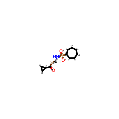 O=C(SBNS(=O)(=O)C1CCCCCC1)C1CC1